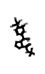 CC(C)(C)OC(=O)N1CCCC1C(O)c1ccc(C(F)(F)F)c(F)c1